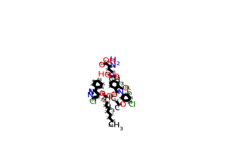 C#CC(C)Oc1cc(N2C(=O)C3=C(CCCC3)C2=O)c(F)cc1Cl.CCCCCCCCSC(=O)Oc1cc(Cl)nnc1-c1ccccc1.CP(=O)(O)CCC(N)C(=O)O